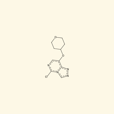 Clc1ncc(OC2CCOCC2)c2nncn12